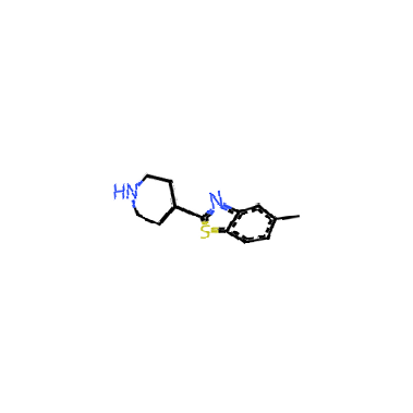 Cc1ccc2sc(C3CCNCC3)nc2c1